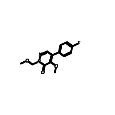 COCn1ncc(-c2ccc(F)cc2)c(OC)c1=O